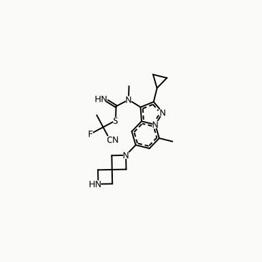 Cc1cc(N2CC3(CNC3)C2)cc2c(N(C)C(=N)SC(C)(F)C#N)c(C3CC3)nn12